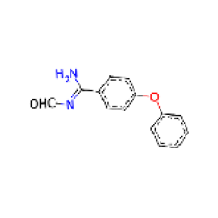 NC(=NC=O)c1ccc(Oc2ccccc2)cc1